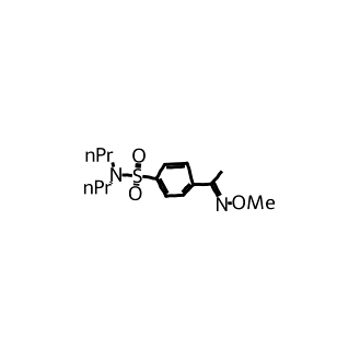 CCCN(CCC)S(=O)(=O)c1ccc(/C(C)=N/OC)cc1